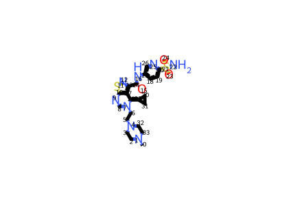 CN1CCN(CCN2C=Nc3snc(C(=O)Nc4ccc(S(N)(=O)=O)nc4)c3C2=C2CC2)CC1